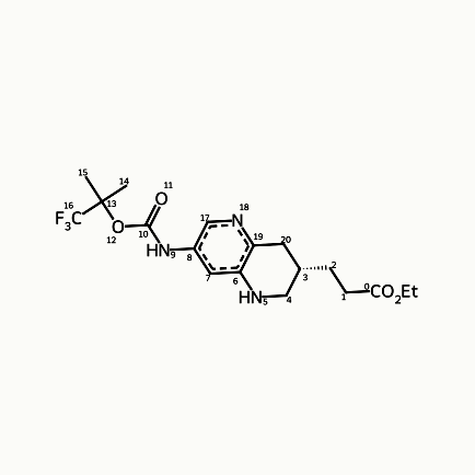 CCOC(=O)CC[C@@H]1CNc2cc(NC(=O)OC(C)(C)C(F)(F)F)cnc2C1